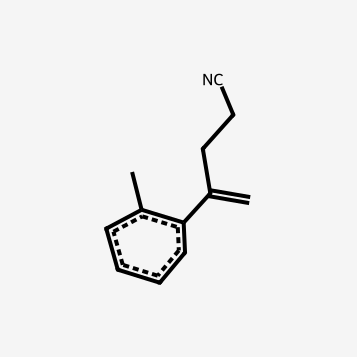 C=C(CCC#N)c1ccccc1C